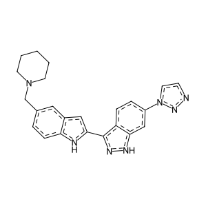 c1cn(-c2ccc3c(-c4cc5cc(CN6CCCCC6)ccc5[nH]4)n[nH]c3c2)nn1